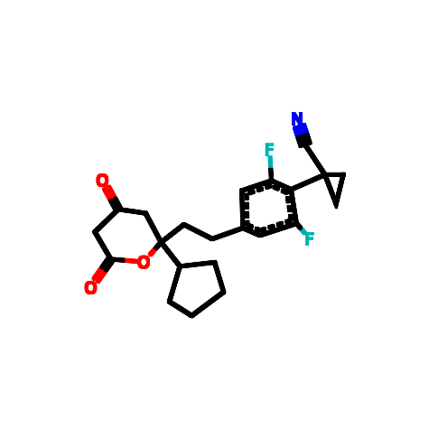 N#CC1(c2c(F)cc(CCC3(C4CCCC4)CC(=O)CC(=O)O3)cc2F)CC1